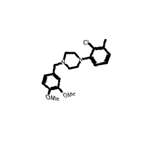 COc1ccc(CN2CCN(c3cccc(C)c3Cl)CC2)cc1OC